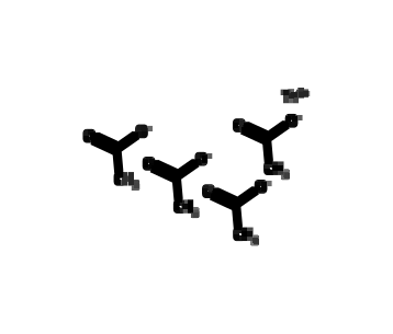 CC(=O)[O-].CC(=O)[O-].CC(=O)[O-].CC(=O)[O-].[Th+4]